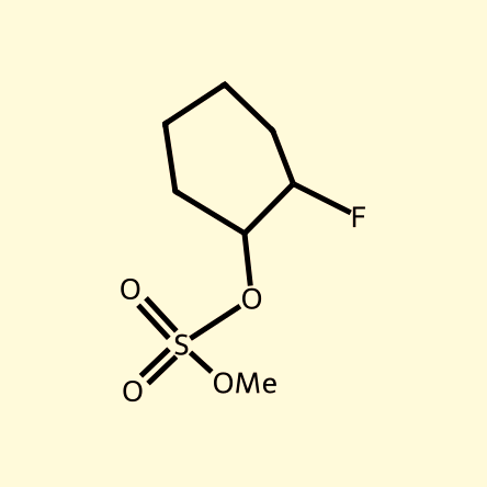 COS(=O)(=O)OC1CCCCC1F